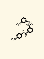 O=C(Nc1ccc([N+](=O)[O-])cc1)c1cccc(S(=O)(=O)Nc2cccc([N+](=O)[O-])c2)c1